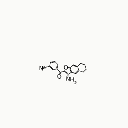 N#Cc1cccc(C(=O)c2oc3cc4c(cc3c2N)CCCC4)c1